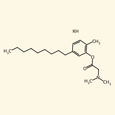 CCCCCCCCCc1ccc(C)c(OC(=O)CN(C)C)c1.[KH]